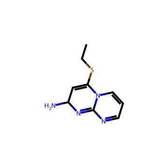 CCSC1=CC(N)N=C2N=CC=CN12